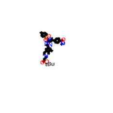 Cc1ccc(S(=O)(=O)n2cc(-c3ccc(C(=O)N(C)C)cc3)c3nc(-c4cc(C)c5c(c4)CCN(CCC(=O)OC(C)(C)C)C5)cnc32)cc1